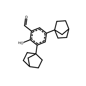 O=Cc1cc(C23CCC(CC2)C3)cc(C23CCC(CC2)C3)c1O